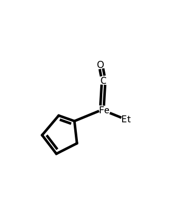 C[CH2][Fe](=[C]=O)[C]1=CC=CC1